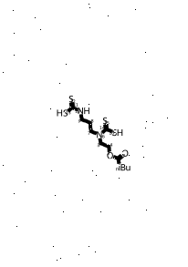 CCC(C)C(=O)OCCN(CCCNC(=S)S)C(=S)S